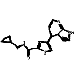 O=C(NCC1CC1)c1cc(C2C=CN=C3NC=CC32)c[nH]1